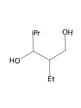 CCC(CO)C(O)C(C)C